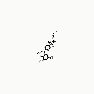 CCOCCNS(=O)(=O)c1ccc(C2CN(C)Cc3c(Cl)cc(Cl)cc32)cc1